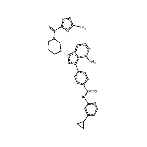 Cc1nnc(C(=O)N2CCC[C@@H](c3nc(-c4ccc(C(=O)Nc5cc(C6CC6)ccn5)cc4)c4c(N)nccn34)C2)o1